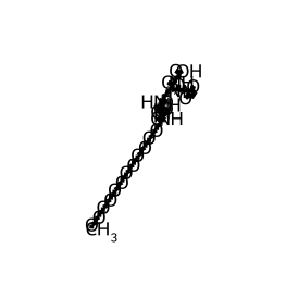 COCCOCCOCCOCCOCCOCCOCCOCCOCCOCCOCCOCCC(=O)N[C@H]1CO[C@H]2[C@@H]1OC[C@@H]2NC(=O)CCC[C@H](NC(=O)CCN1C(=O)C=CC1=O)C(=O)NCCC(=O)O